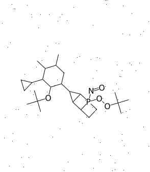 CC1CC(C2C3C4CCP4(N=O)(OOC(C)(C)C)C23)C(OC(C)(C)C)C(C2CC2)C1C